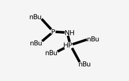 CCCCP(CCCC)N[PH](CCCC)(CCCC)CCCC